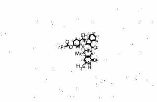 CCCC(=O)OC1CCC(C(C)n2c(C)c(C(=O)NCc3c(SC)cc(C)[nH]c3=O)c3ccccc32)CC1